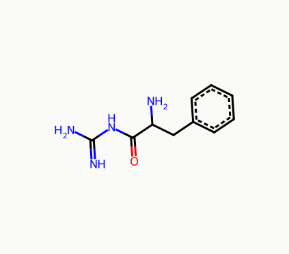 N=C(N)NC(=O)C(N)Cc1ccccc1